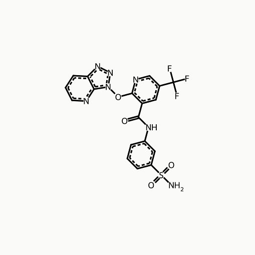 NS(=O)(=O)c1cccc(NC(=O)c2cc(C(F)(F)F)cnc2On2nnc3cccnc32)c1